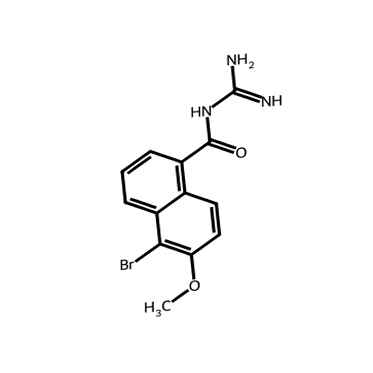 COc1ccc2c(C(=O)NC(=N)N)cccc2c1Br